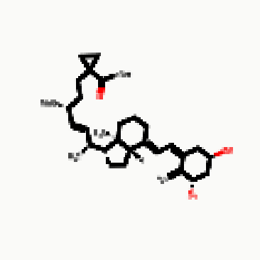 C=C1/C(=C\C=C2/CCC[C@]3(C)[C@@H]([C@H](C)/C=C/[C@@H](CCC4(C(=O)CCCCCCCC)CC4)OC)CC[C@@H]23)C[C@@H](O)C[C@@H]1O